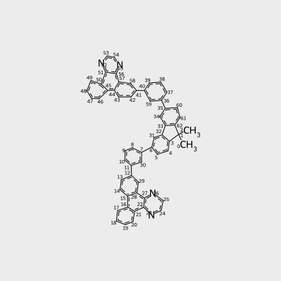 CC1(C)c2ccc(-c3cccc(-c4ccc5c6ccccc6c6nccnc6c5c4)c3)cc2-c2cc(-c3cccc(-c4ccc5c6ccccc6c6nccnc6c5c4)c3)ccc21